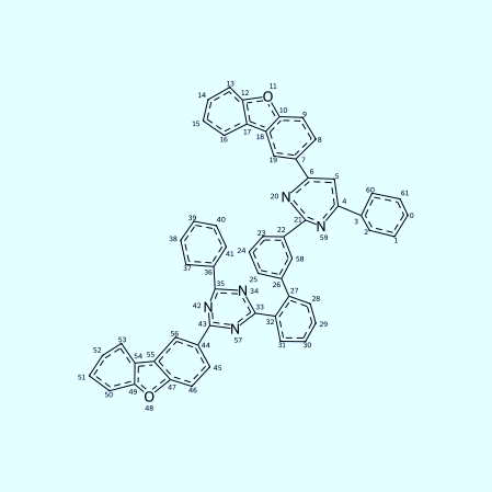 c1ccc(-c2cc(-c3ccc4oc5ccccc5c4c3)nc(-c3cccc(-c4ccccc4-c4nc(-c5ccccc5)nc(-c5ccc6oc7ccccc7c6c5)n4)c3)n2)cc1